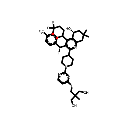 CC1(C)Cc2nc(C3CCN(c4nccc(OCC(C)(CO)CO)n4)CC3)c([C@@H](F)c3ccc(C(F)(F)F)cc3)c(C3CCC(F)(F)CC3)c2[C@@H](O)C1